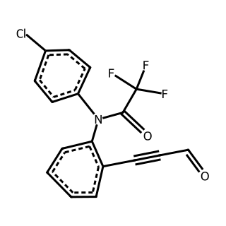 O=CC#Cc1ccccc1N(C(=O)C(F)(F)F)c1ccc(Cl)cc1